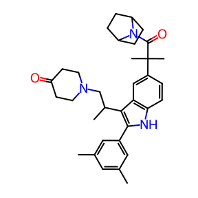 Cc1cc(C)cc(-c2[nH]c3ccc(C(C)(C)C(=O)N4C5CCC4CC5)cc3c2C(C)CN2CCC(=O)CC2)c1